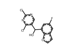 OC(c1cnc(Cl)nc1Cl)c1cc(F)cc2ccoc12